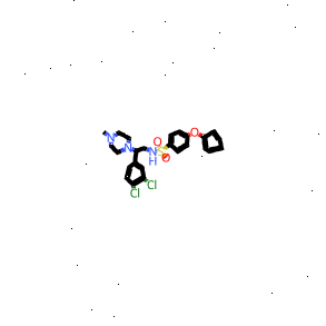 CN1CCN(C(CNS(=O)(=O)c2ccc(Oc3ccccc3)cc2)c2ccc(Cl)c(Cl)c2)CC1